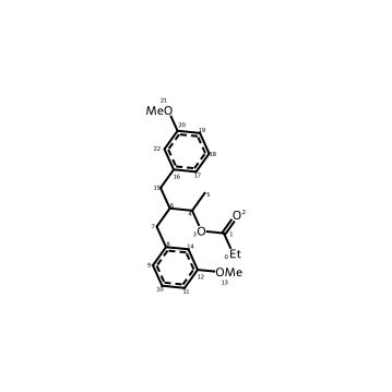 CCC(=O)OC(C)C(Cc1cccc(OC)c1)Cc1cccc(OC)c1